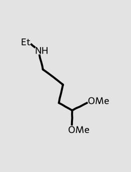 CCNCCCC(OC)OC